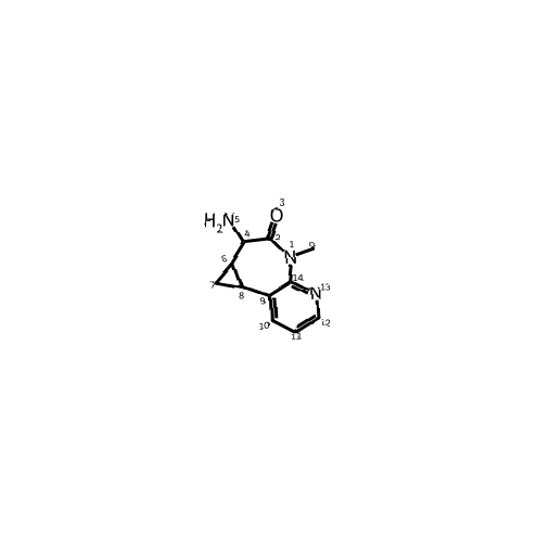 CN1C(=O)C(N)C2CC2c2cccnc21